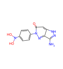 Nc1n[nH]c2cc(=O)n(-c3ccc(N(O)O)cc3)nc12